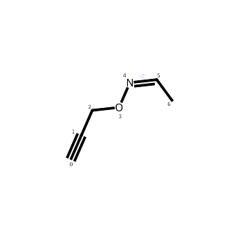 C#CCO/N=C\C